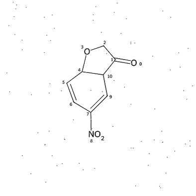 O=C1COC2C=CC([N+](=O)[O-])=CC12